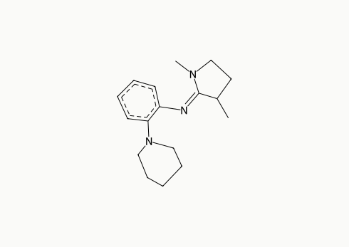 CC1CCN(C)C1=Nc1ccccc1N1CCCCC1